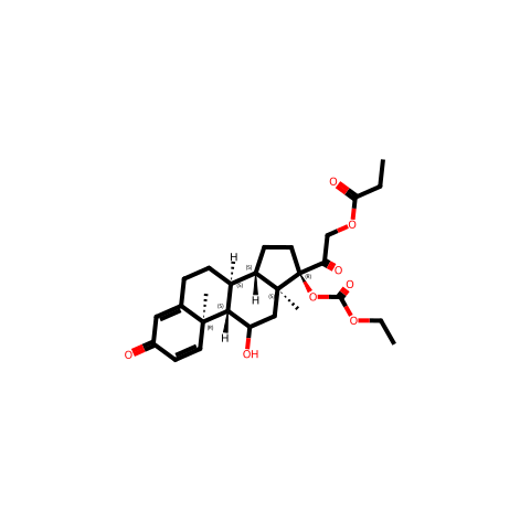 CCOC(=O)O[C@]1(C(=O)COC(=O)CC)CC[C@H]2[C@@H]3CCC4=CC(=O)C=C[C@]4(C)[C@H]3C(O)C[C@@]21C